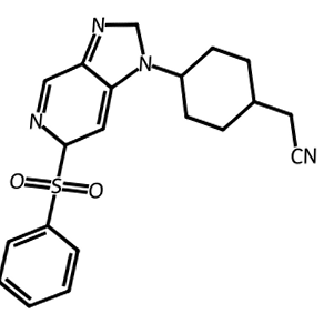 N#CCC1CCC(N2CN=C3C=NC(S(=O)(=O)c4ccccc4)C=C32)CC1